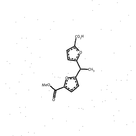 COC(=O)c1ccc(C(C)c2ccc(C(=O)O)o2)o1